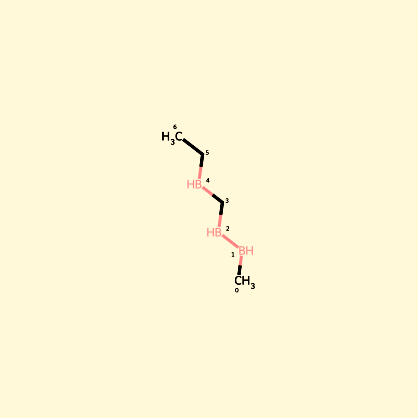 CBBCBCC